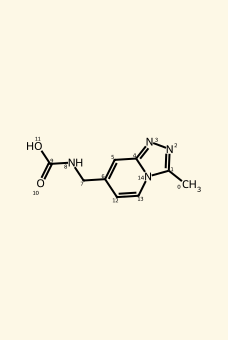 Cc1nnc2cc(CNC(=O)O)ccn12